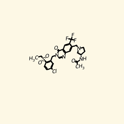 CCS(=O)(=O)c1ccc(Cl)cc1Cn1cnc2cc(CN3CC[C@@H](NC(C)=O)C3)c(C(F)(F)F)cc2c1=O